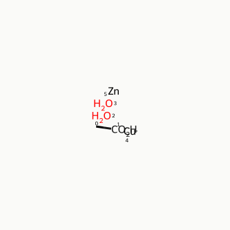 CC(=O)O.O.O.[Cu].[Zn]